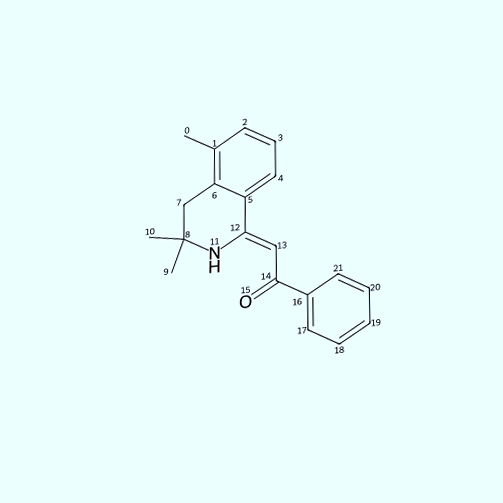 Cc1cccc2c1CC(C)(C)NC2=CC(=O)c1ccccc1